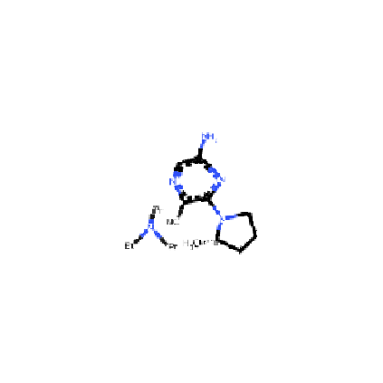 CCN(C(C)C)C(C)C.C[C@H]1CCCN1c1nc(N)cnc1C#N